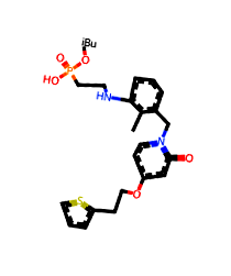 CCC(C)OP(=O)(O)CCNc1cccc(Cn2ccc(OCCc3cccs3)cc2=O)c1C